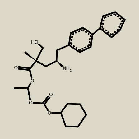 CC(OC(=O)OC1CCCCC1)OC(=O)[C@](C)(CO)C[C@H](N)Cc1ccc(-c2ccccc2)cc1